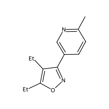 CCc1onc(-c2ccc(C)nc2)c1CC